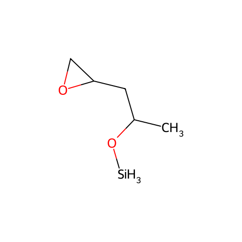 CC(CC1CO1)O[SiH3]